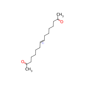 CC(=O)CCCCC/C=C/CCCCCC(C)=O